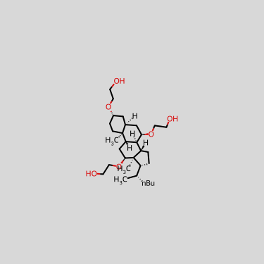 CCCC[C@H](C)[C@H]1CC[C@H]2[C@@H]3[C@H](OCCO)C[C@@H]4C[C@@H](OCCO)CC[C@]4(C)[C@H]3C[C@H](OCCO)[C@]12C